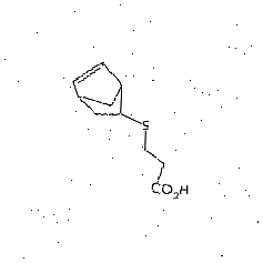 O=C(O)CCSC1CC2C=CC1C2